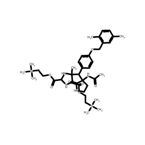 CC(=O)NC1(C(c2ccc(OCc3cc(C)ccc3C)cc2)C2(C)NC(C(=O)OCC[Si](C)(C)C)NC2C(=O)OCC[Si](C)(C)C)CCNC1=O